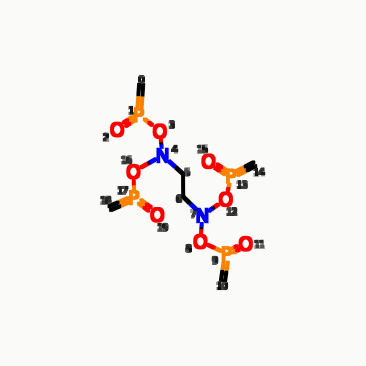 C=P(=O)ON(CCN(OP(=C)=O)OP(=C)=O)OP(=C)=O